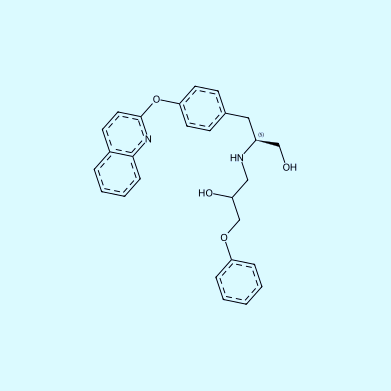 OC[C@H](Cc1ccc(Oc2ccc3ccccc3n2)cc1)NCC(O)COc1ccccc1